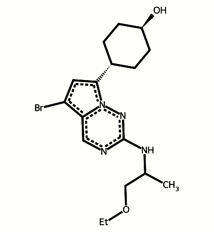 CCOCC(C)Nc1ncc2c(Br)cc([C@H]3CC[C@H](O)CC3)n2n1